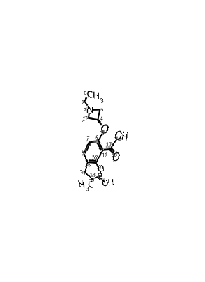 CCN1CC(Oc2ccc3c(c2C(=O)O)OB(O)C(C)C3)C1